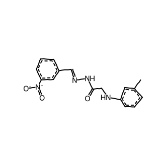 Cc1cccc(NCC(=O)N/N=C/c2cccc([N+](=O)[O-])c2)c1